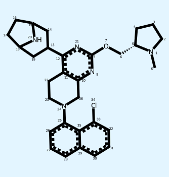 CN1CCC[C@H]1COc1nc2c(c(C3CC4CCC(C3)N4)n1)CCN(c1cccc3cccc(Cl)c13)C2